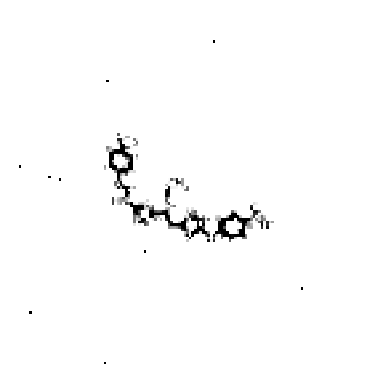 CCSC(Cc1nnc(Oc2ccc([N+](=O)[O-])cc2)s1)c1nnc(NCOc2ccc(C)cc2)s1